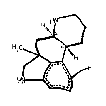 CC12CNc3ccc(F)c(c31)[C@H]1CCCN[C@@H]1C2